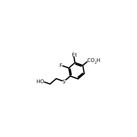 CCc1c(C(=O)O)ccc(SCCO)c1F